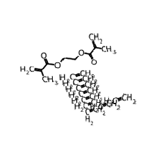 C=C.C=C.C=C.C=C.C=C.C=C.C=C.C=C.C=C.C=C(C)C(=O)OCCOC(=O)C(=C)C